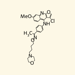 COc1ccc2c(Nc3ccc(C(C)=NOCCCCN4CCOCC4)cc3)c3c(Cl)coc3nc2c1